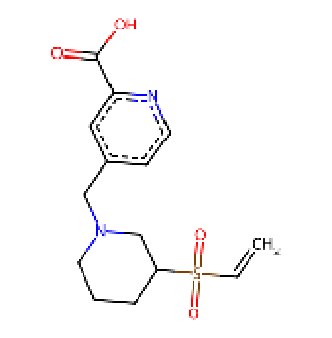 C=CS(=O)(=O)C1CCCN(Cc2ccnc(C(=O)O)c2)C1